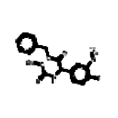 CC(C)(C)OC(=O)NC(C(=O)OCc1ccccc1)c1ccc(F)c(OC(F)(F)F)c1